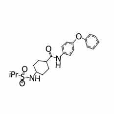 CC(C)S(=O)(=O)NC1CCC(C(=O)Nc2ccc(Oc3ccccc3)cc2)CC1